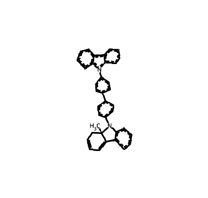 C[C@]12CC=CC=C1c1ccccc1N2c1ccc(-c2ccc(-n3c4ccccc4c4ccccc43)cc2)cc1